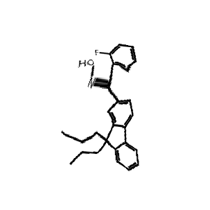 CCCC1(CCC)c2ccccc2-c2ccc(C(=NO)c3ccccc3F)cc21